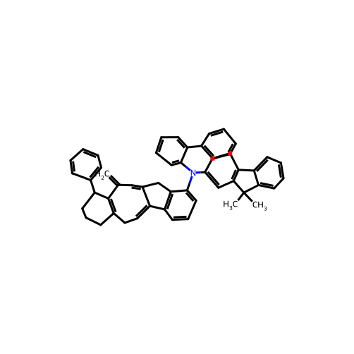 C=C1/C=C2/Cc3c(cccc3N(C3=CC4=C(CC3)c3ccccc3C4(C)C)c3ccccc3-c3ccccc3)/C2=C/CC2=C1C(c1ccccc1)CCC2